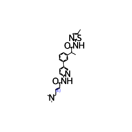 Cc1cnc(NC(=O)C(C)c2cccc(-c3ccc(NC(=O)/C=C/CN(C)C)nc3)c2)s1